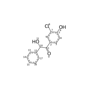 O=C(c1ccc(O)c(Cl)c1)C(O)c1ccccc1